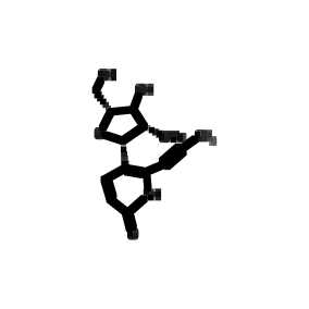 CC#Cc1[nH]c(=O)ccc1[C@@H]1O[C@H](CO)C(O)[C@@H]1OC